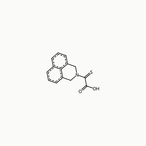 O=C(O)C(=S)N1Cc2cccc3cccc(c23)C1